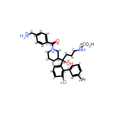 CC(C)c1cccc(-c2c(Cl)cccc2C(O)(CCCNC(=O)O)C2CCCN(C(=O)c3ccc(CN)cc3)C2)c1